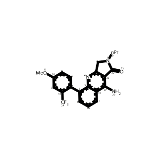 CCCN1Cc2nc3c(-c4ccc(OC)cc4C(F)(F)F)cccc3c(N)c2C1=O